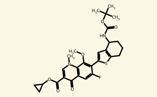 COc1c(-c2cc3c(s2)CCCC3NC(=O)OC(C)(C)C)c(F)cc2c(=O)c(C(=O)OC3CC3)cn(C)c12